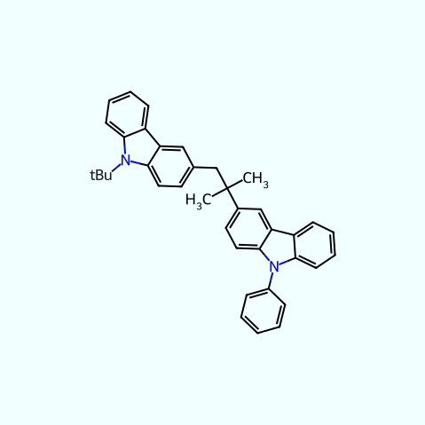 CC(C)(Cc1ccc2c(c1)c1ccccc1n2C(C)(C)C)c1ccc2c(c1)c1ccccc1n2-c1ccccc1